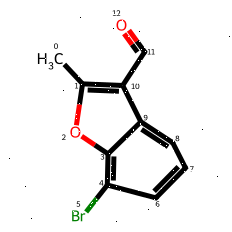 Cc1oc2c(Br)cccc2c1C=O